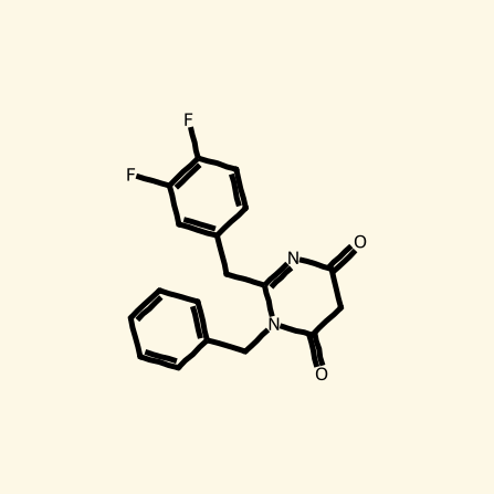 O=C1CC(=O)N(Cc2ccccc2)C(Cc2ccc(F)c(F)c2)=N1